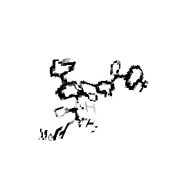 CN[C@H](C)C(=O)Nc1ccc(-c2ccncc2)n(Cc2cncc(C(=O)c3ccc(F)cc3)c2)c1=O